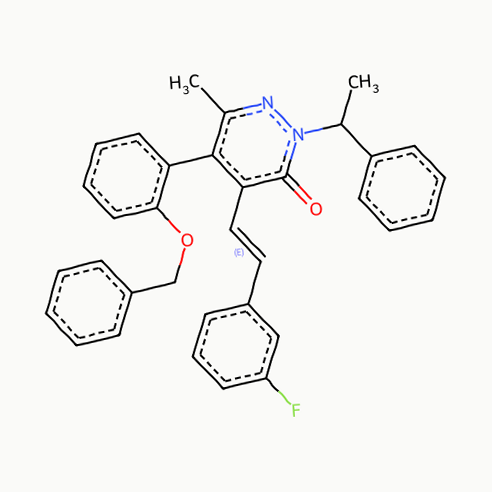 Cc1nn(C(C)c2ccccc2)c(=O)c(/C=C/c2cccc(F)c2)c1-c1ccccc1OCc1ccccc1